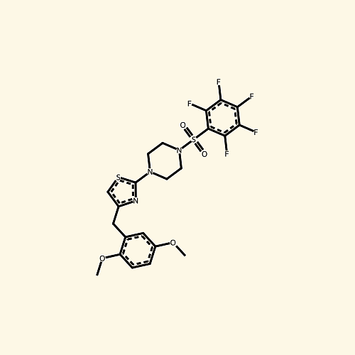 COc1ccc(OC)c(Cc2csc(N3CCN(S(=O)(=O)c4c(F)c(F)c(F)c(F)c4F)CC3)n2)c1